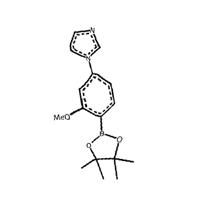 COc1cc(-n2ccnc2)ccc1B1OC(C)(C)C(C)(C)O1